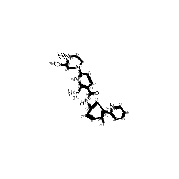 Cc1nc(N2CCNC(=O)C2)ccc1C(=O)Nc1ccc(I)c(-c2ccccn2)c1